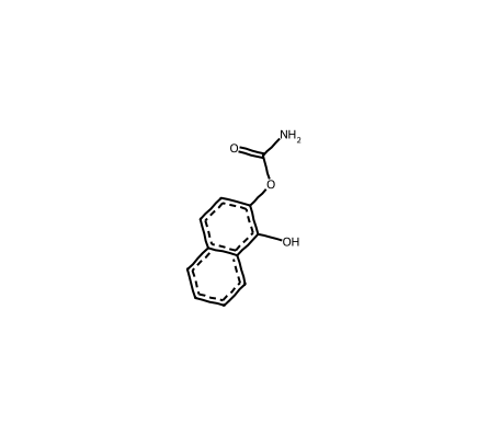 NC(=O)Oc1ccc2ccccc2c1O